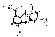 Cc1ccc(Nc2c(C(=O)O)ccc(F)c2F)[n+]([O-])c1